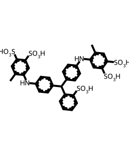 Cc1cc(S(=O)(=O)O)c(S(=O)(=O)O)cc1Nc1ccc(C(c2ccc(Nc3cc(S(=O)(=O)O)c(S(=O)(=O)O)cc3C)cc2)c2ccccc2S(=O)(=O)O)cc1